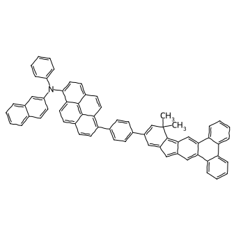 CC1(C)C=C(c2ccc(-c3ccc4ccc5c(N(c6ccccc6)c6ccc7ccccc7c6)ccc6ccc3c4c65)cc2)C=C2C=c3cc4c5ccccc5c5ccccc5c4cc3=C21